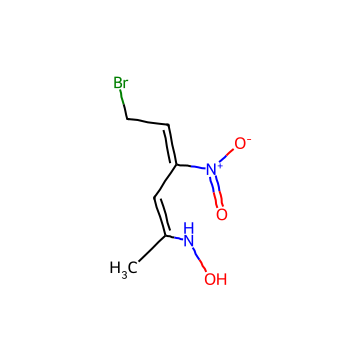 C/C(=C/C(=C\CBr)[N+](=O)[O-])NO